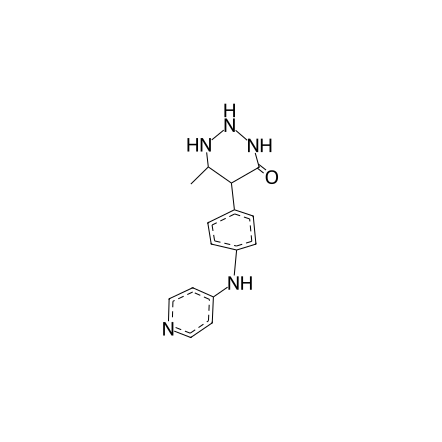 CC1NNNC(=O)C1c1ccc(Nc2ccncc2)cc1